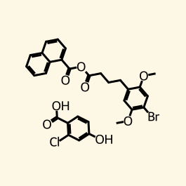 COc1cc(CCCC(=O)OC(=O)c2cccc3ccccc23)c(OC)cc1Br.O=C(O)c1ccc(O)cc1Cl